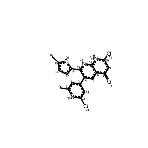 Cc1cc(-c2cc3c(=O)cc(Cl)[nH]c3nc2-c2ccc(C)o2)cc(Cl)n1